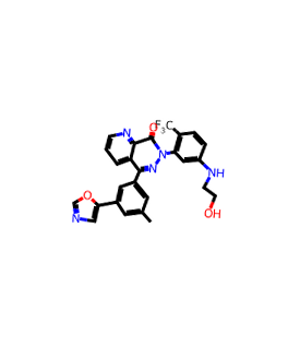 Cc1cc(-c2cnco2)cc(-c2nn(-c3cc(NCCO)ccc3C(F)(F)F)c(=O)c3ncccc23)c1